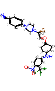 N#Cc1ccc(N2CCN(C(=S)COC3CCC(Nc4ccc([N+](=O)[O-])c(C(F)(F)F)c4)CC3)CC2)cc1